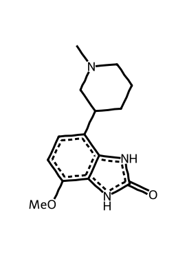 COc1ccc(C2CCCN(C)C2)c2[nH]c(=O)[nH]c12